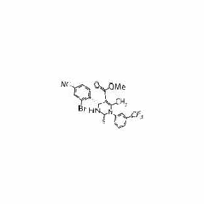 COC(=O)C1=C(C)N(c2cccc(C(F)(F)F)c2)C(=S)N[C@@H]1c1ccc(C#N)cc1Br